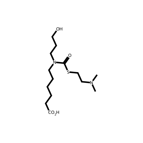 CN(C)CCSC(=O)N(CCCO)CCCCCC(=O)O